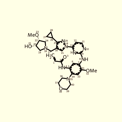 C=CC(=O)Nc1cc(Nc2nccc(-n3cc(CN4C[C@H](O)[C@H](OC)C4)c(C4CC4)n3)n2)c(OC)cc1N1CCOCC1